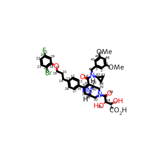 COc1cc(CN(C(=O)C2=C(c3ccc(CCCOc4cc(F)ccc4Br)cc3)C[C@@H]3CN(C(=O)[C@H](O)[C@H](O)C(=O)O)C[C@H]2N3)C2CC2)cc(OC)c1